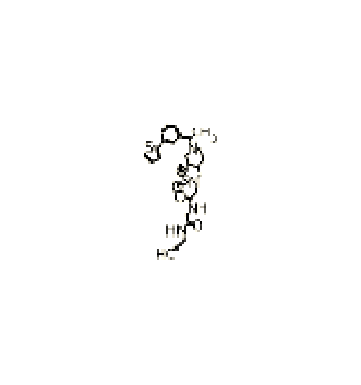 C#CCNC(=O)CNC(=O)CN(CC1CCN(C(C)c2cccc(-c3cccs3)c2)CC1)[SH](=O)=O